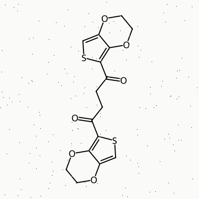 O=C(CCC(=O)c1scc2c1OCCO2)c1scc2c1OCCO2